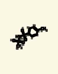 Cc1ccc(S(=O)(=O)NS(=O)(=O)C(F)(F)F)cc1